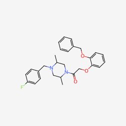 CC1CN(C(=O)COc2ccccc2OCc2ccccc2)C(C)CN1Cc1ccc(F)cc1